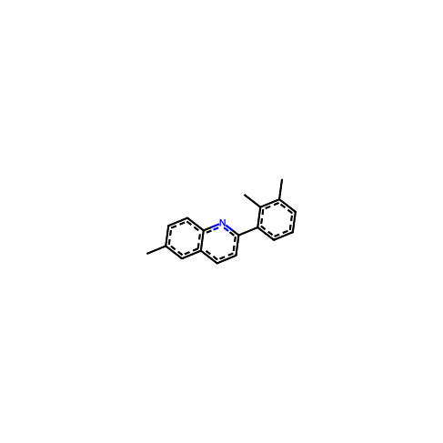 Cc1ccc2nc(-c3cccc(C)c3C)ccc2c1